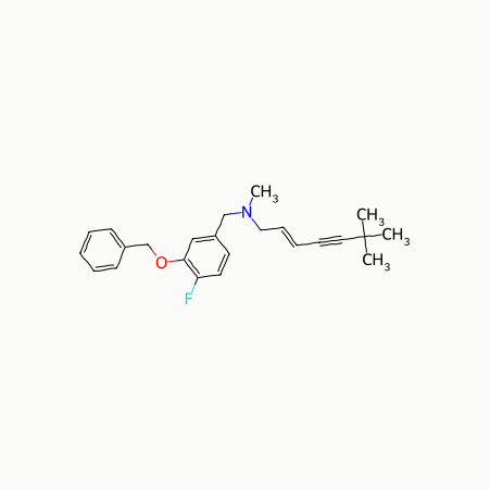 CN(CC=CC#CC(C)(C)C)Cc1ccc(F)c(OCc2ccccc2)c1